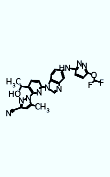 Cc1cc(C#N)nn1-c1nc(-n2cnc3cc(Nc4ccc(OC(F)F)nn4)ccc32)ccc1C(C)O